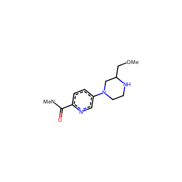 CNC(=O)c1ccc(N2CCNC(COC)C2)cn1